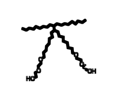 CCCCCCCCCC(CCCCCCCCC)C(CCCCCCCCOCCOCCO)CCCCCCCCOCCOCCO